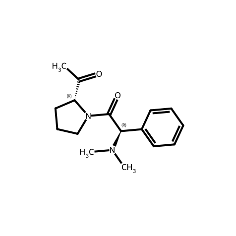 CC(=O)[C@H]1CCCN1C(=O)[C@@H](c1ccccc1)N(C)C